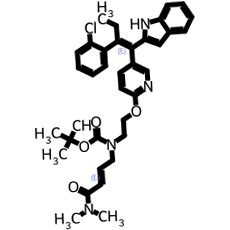 CC/C(=C(/c1ccc(OCCN(C/C=C/C(=O)N(C)C)C(=O)OC(C)(C)C)nc1)c1cc2ccccc2[nH]1)c1ccccc1Cl